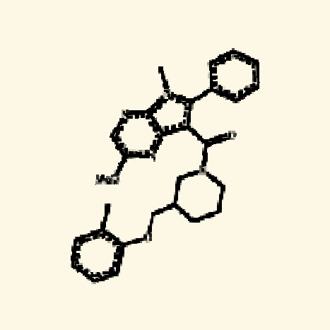 COc1cnc2c(n1)c(C(=O)N1CCCC(COc3ccccc3C)C1)c(-c1ccccc1)n2C